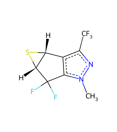 Cn1nc(C(F)(F)F)c2c1C(F)(F)[C@@H]1S[C@H]21